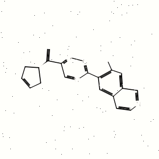 C=C(c1cnc(-c2cc3ccncc3cc2O)nn1)[C@H]1CC=C[C@@H]1F